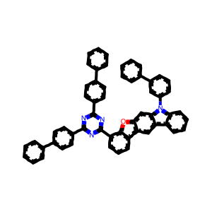 c1ccc(-c2ccc(-c3nc(-c4ccc(-c5ccccc5)cc4)nc(-c4cccc5c4oc4cc6c(cc45)c4ccccc4n6-c4cccc(-c5ccccc5)c4)n3)cc2)cc1